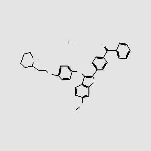 COc1ccc2c(Oc3ccc(OCCC4CCCCN4)cc3)c(-c3ccc(C(=O)c4ccccc4)cc3)sc2c1.Cl